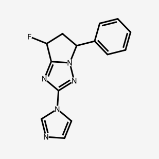 FC1CC(c2ccccc2)n2nc(-n3ccnc3)nc21